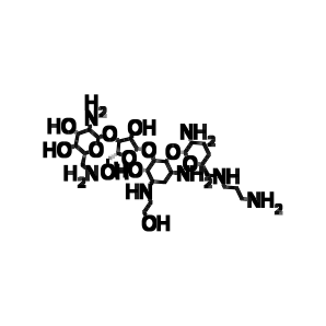 NCCCNC[C@@H]1CC[C@@H](N)[C@@H](O[C@H]2[C@H](O[C@@H]3O[C@H](CO)[C@@H](O[C@H]4O[C@@H](CN)[C@@H](O)[C@H](O)[C@H]4N)[C@H]3O)[C@@H](O)[C@H](NCCO)C[C@@H]2N)O1